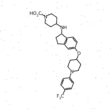 O=C(O)N1CCC(NC2CCc3cc(OC4CCN(c5ccc(C(F)(F)F)cc5)CC4)ccc32)CC1